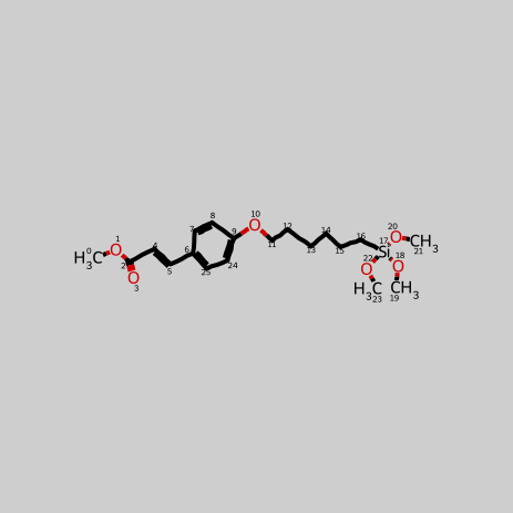 COC(=O)C=Cc1ccc(OCCCCCC[Si](OC)(OC)OC)cc1